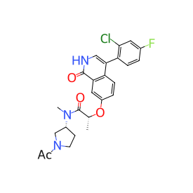 CC(=O)N1CC[C@@H](N(C)C(=O)[C@@H](C)Oc2ccc3c(-c4ccc(F)cc4Cl)c[nH]c(=O)c3c2)C1